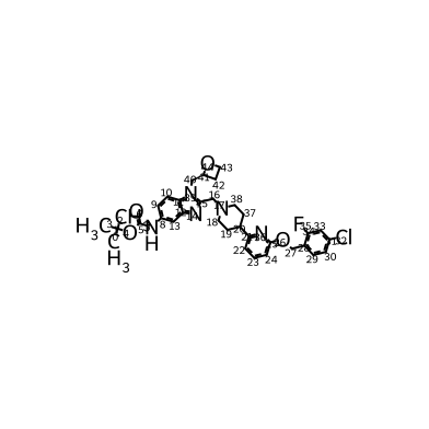 CC(C)(C)OC(=O)Nc1ccc2c(c1)nc(CN1CCC(c3cccc(OCc4ccc(Cl)cc4F)n3)CC1)n2C[C@@H]1CCO1